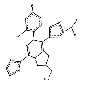 OCC1CC2=C(c3cnn(C(F)F)c3)[C@H](c3ccc(F)cc3Cl)N=C(c3nccs3)N2C1